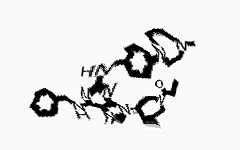 C=CC(=O)N1CCC[C@H](n2cnc3c(NCc4ccccc4)nc(Nc4ccc(N5CCN(C)CC5)cc4)nc32)C1